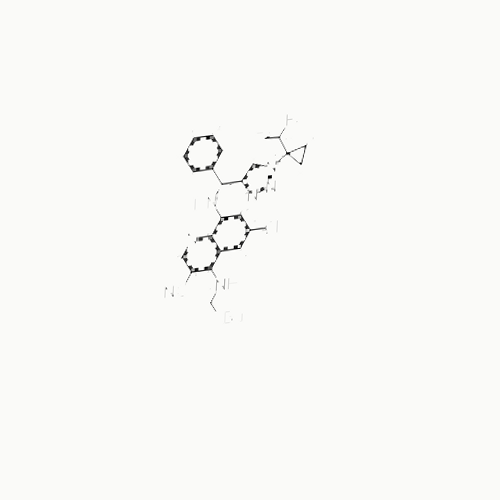 CC(C)(C)CNc1c(C#N)cnc2c(N[C@@H](c3ccccc3)c3cn(C4(C(F)F)CC4)nn3)cc(Cl)cc12